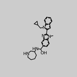 Cn1c(-c2cc3ccccc3n2CC2CC2)nc2cc(C(O)NC3CCCCNC3)ccc21